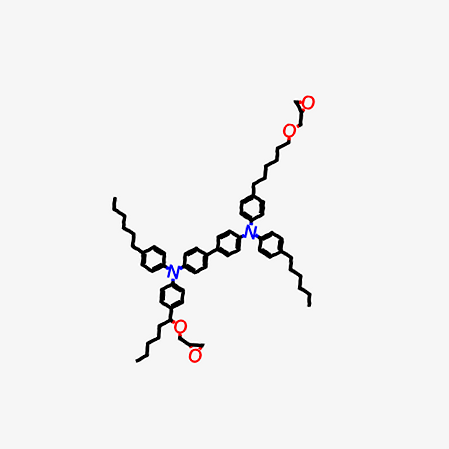 CCCCCCc1ccc(N(c2ccc(CCCCCCOCC3CO3)cc2)c2ccc(-c3ccc(N(c4ccc(CCCCCC)cc4)c4ccc(C(CCCCC)OCC5CO5)cc4)cc3)cc2)cc1